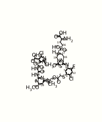 COC(=O)CSc1cc(/N=c2\sc(=O)n3n2CCCC3)c(F)cc1Cl.COc1cc(OC)nc(NC(=O)NS(=O)(=O)c2c(C(=O)O)c(Cl)nn2C)n1.CP(=O)(O)CCC(N)C(=O)O